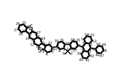 CC1(C)c2cc(-c3ccc4sc5cc6cc7c(cc6cc5c4c3)sc3ccccc37)ccc2-c2ccc(-c3c4ccccc4c(-c4ccccc4)c4ccccc34)cc21